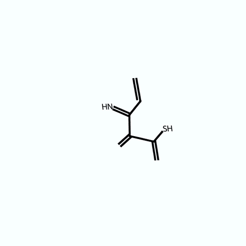 C=CC(=N)C(=C)C(=C)S